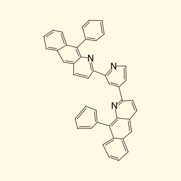 c1ccc(-c2c3ccccc3cc3ccc(-c4ccnc(-c5ccc6cc7ccccc7c(-c7ccccc7)c6n5)c4)nc23)cc1